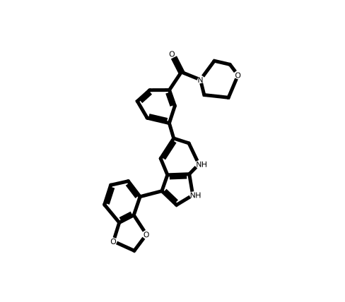 O=C(c1cccc(C2=Cc3c(-c4cccc5c4OCO5)c[nH]c3NC2)c1)N1CCOCC1